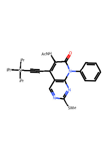 CSc1ncc2c(C#C[Si](C(C)C)(C(C)C)C(C)C)c(NC(C)=O)c(=O)n(-c3ccccc3)c2n1